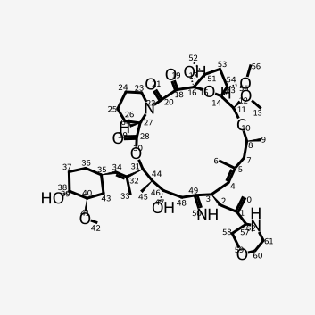 C=C(C[C@@H]1/C=C(\C)C[C@H](C)C[C@H](OC)[C@H]2O[C@@](O)(C(=O)C(=O)N3CCCC[C@H]3C(=O)O[C@H](/C(C)=C/[C@@H]3CC[C@@H](O)[C@H](OC)C3)[C@H](C)[C@@H](O)CC1=N)[C@H](C)C[C@@H]2OC)C1COCCN1